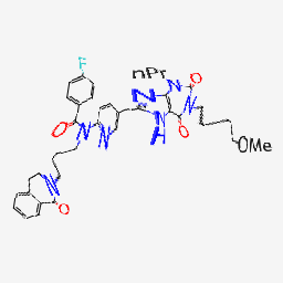 CCCn1c(=O)n(CCCCOC)c(=O)c2[nH]c(-c3ccc(N(CCCN4CCc5ccccc5C4=O)C(=O)c4ccc(F)cc4)nc3)nc21